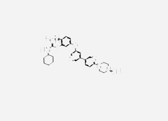 C=C(NC1CCCCC1)Sc1cc(Oc2cncc(-c3ccc(N4CCN(C)CC4)nc3)c2)ccc1N